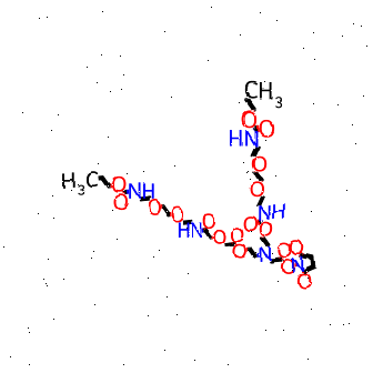 CCCOC(=O)NCCOCCOCCNC(=O)COCC(=O)OCCN(CCOC(=O)NCCOCCOCCNC(=O)OCCC)CC(=O)ON1C(=O)CCC1=O